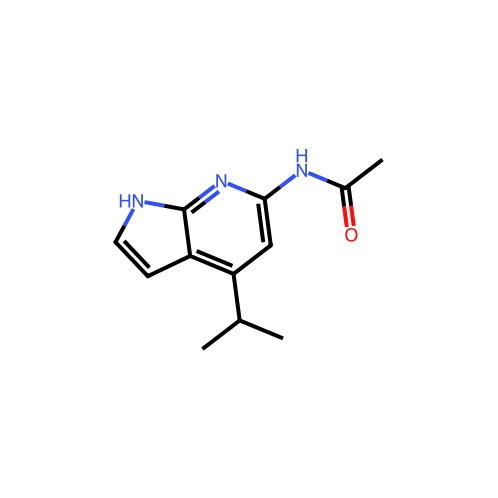 CC(=O)Nc1cc(C(C)C)c2cc[nH]c2n1